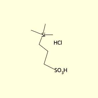 C[Si](C)(C)CCCS(=O)(=O)O.Cl